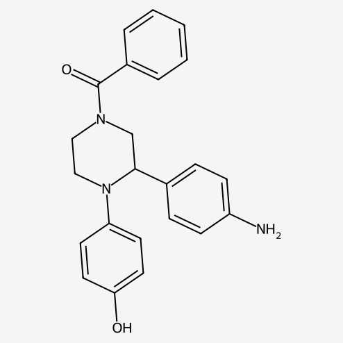 Nc1ccc(C2CN(C(=O)c3ccccc3)CCN2c2ccc(O)cc2)cc1